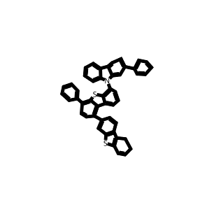 C1=Cc2sc3cc(-c4ccc(-c5ccccc5)c5sc6c(-n7c8ccccc8c8ccc(-c9ccccc9)cc87)cccc6c45)ccc3c2CC1